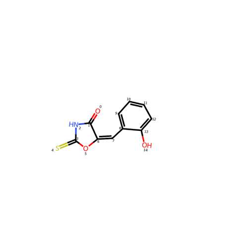 O=C1NC(=S)OC1=Cc1ccccc1O